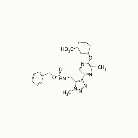 Cc1nc(-c2nnn(C)c2CNC(=O)OCc2ccccc2)cnc1OC1CCC[C@H](C(=O)O)C1